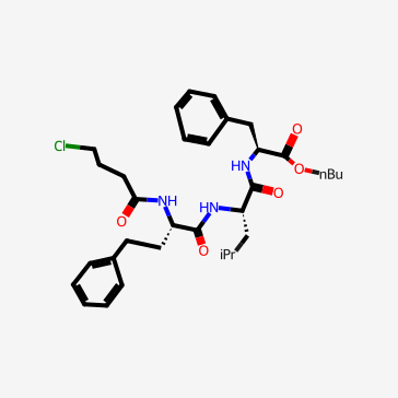 CCCCOC(=O)[C@H](Cc1ccccc1)NC(=O)[C@H](CC(C)C)NC(=O)[C@H](CCc1ccccc1)NC(=O)CCCCl